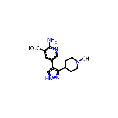 CN1CCC(c2n[nH]cc2-c2cnc(N)c(C(=O)O)c2)CC1